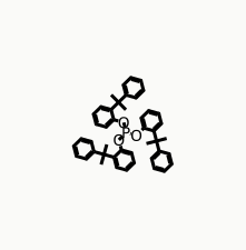 CC(C)(c1ccccc1)c1ccccc1OP(Oc1ccccc1C(C)(C)c1ccccc1)Oc1ccccc1C(C)(C)c1ccccc1